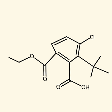 CCOC(=O)c1ccc(Cl)c(C(C)(C)C)c1C(=O)O